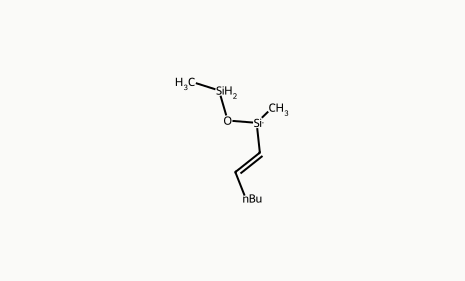 CCCCC=C[Si](C)O[SiH2]C